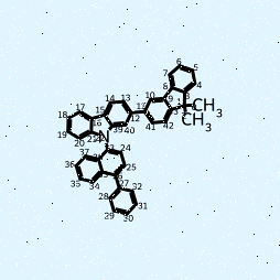 CC1(C)c2ccccc2-c2cc(-c3ccc4c5ccccc5n(-c5ccc(-c6ccccc6)c6ccccc56)c4c3)ccc21